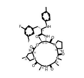 Cc1ccc(N[C@@H](Cc2cc(F)cc(F)c2)C(=O)N[C@@H]2C(=O)N3CCC[C@H]3C(=O)N(C)[C@@H](C)C(=O)N[C@@H](C)C(=O)N3C[C@@H](C)C[C@H]3C(=O)O[C@H]2C)cc1